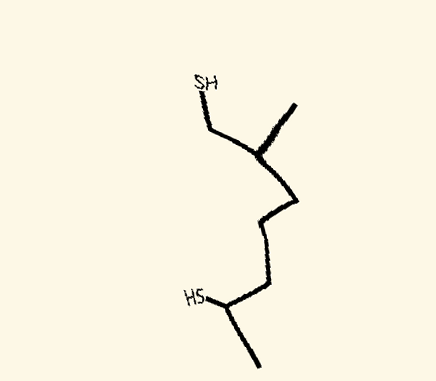 CC(S)CCCC(C)CS